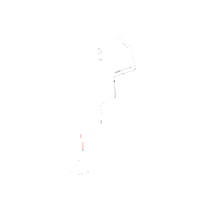 [c]1ccc(CCCOC2CC2)cc1